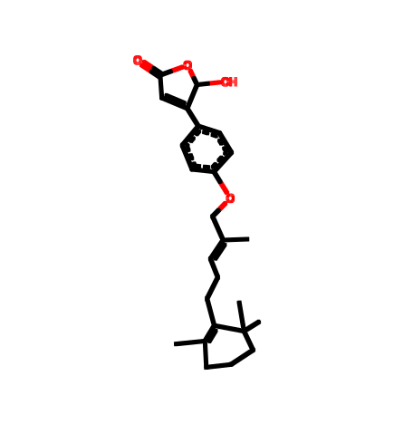 CC1=C(CC/C=C(\C)COc2ccc(C3=CC(=O)OC3O)cc2)C(C)(C)CCC1